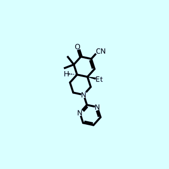 CC[C@]12C=C(C#N)C(=O)C(C)(C)[C@@H]1CCN(c1ncccn1)C2